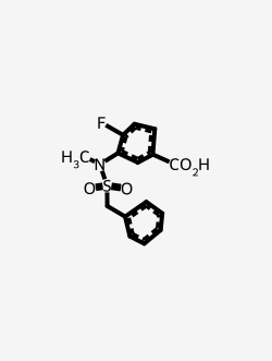 CN(c1cc(C(=O)O)ccc1F)S(=O)(=O)Cc1ccccc1